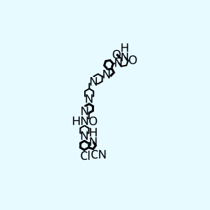 N#Cc1c[nH]c2c(N3CCC(NC(=O)c4ccc(N5CCC(CN6CCC(n7ccc8c(N9CCC(=O)NC9=O)cccc87)CC6)CC5)cn4)CC3)ccc(Cl)c12